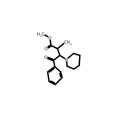 COC(=O)C(C)C(C(=O)c1ccccc1)N1CCCCC1